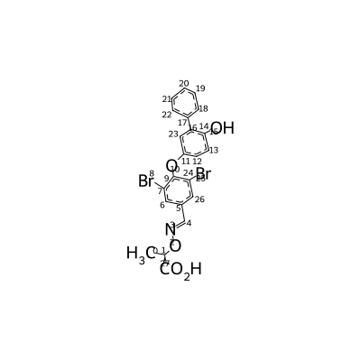 C[C@@H](ON=Cc1cc(Br)c(Oc2ccc(O)c(-c3ccccc3)c2)c(Br)c1)C(=O)O